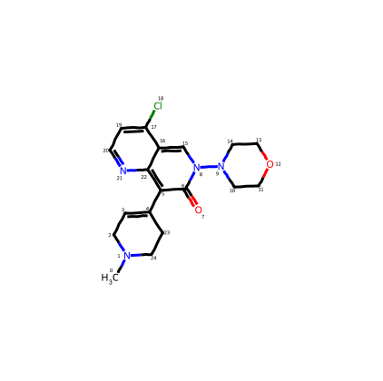 CN1CC=C(c2c(=O)n(N3CCOCC3)cc3c(Cl)ccnc23)CC1